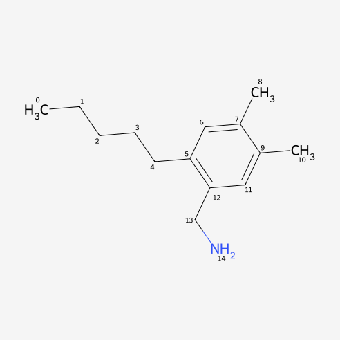 CCCCCc1cc(C)c(C)cc1CN